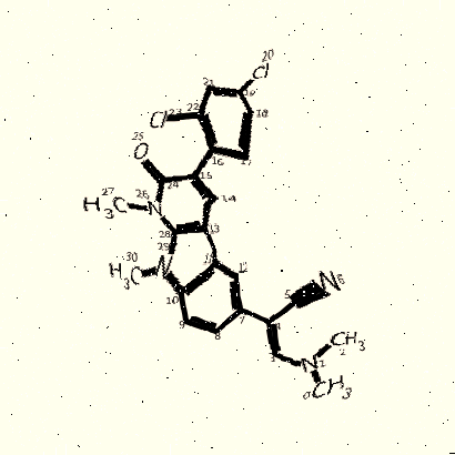 CN(C)/C=C(\C#N)c1ccc2c(c1)c1cc(-c3ccc(Cl)cc3Cl)c(=O)n(C)c1n2C